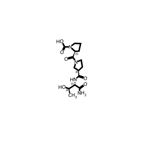 C[C@@H](O)[C@H](NC(=O)[C@@H]1CCN(C(=O)[C@@H]2CCCN2C(=O)O)C1)C(N)=O